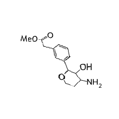 COC(=O)Cc1cccc(C2OCCC(N)C2O)c1